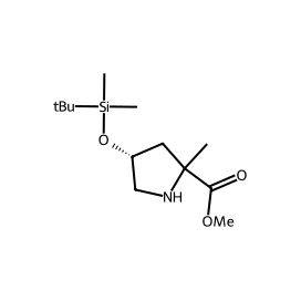 COC(=O)C1(C)C[C@@H](O[Si](C)(C)C(C)(C)C)CN1